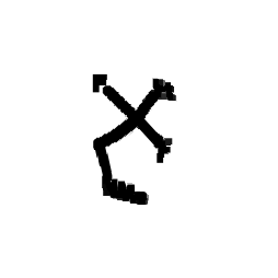 CCC(F)(F)CNC